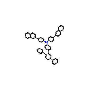 C1=C(c2ccccc2)C(c2ccc(N(c3ccc(-c4ccc5ccccc5c4)cc3)c3ccc(-c4ccc5ccccc5c4)cc3)cc2)=CC(c2ccccc2)C1